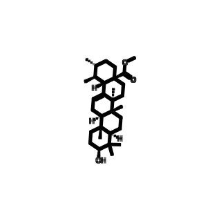 COC(=O)[C@]12CC[C@@H](C)[C@H](C)[C@H]1C1=CC[C@@H]3[C@@]4(C)CC[C@H](O)C(C)(C)[C@@H]4CC[C@@]3(C)[C@]1(C)CC2